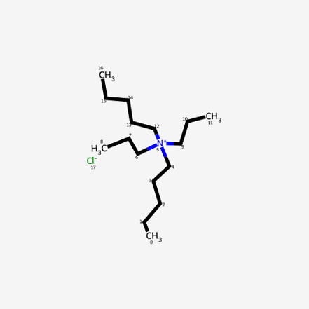 CCCCC[N+](CCC)(CCC)CCCCC.[Cl-]